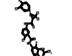 O=C(Nc1ccc(F)c(NC(=O)C(F)(F)F)c1F)c1cc(NC(=O)C2[C@H](c3ccc(F)c(Cl)c3)C2(Cl)Cl)ccc1Cl